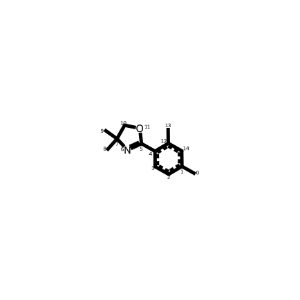 Cc1ccc(C2=NC(C)(C)CO2)c(C)c1